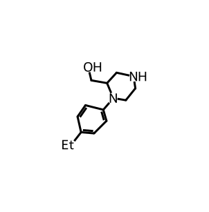 CCc1ccc(N2CCNCC2CO)cc1